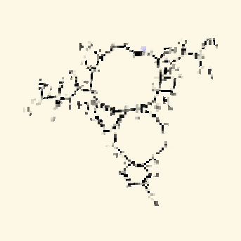 CN(C)C(=O)C[C@@]1(O)/C=C/CCN(C)C(=O)C[C@](O)(C(=O)NS(=O)(=O)N(C)C)c2ccc3c(c2)N(CCCCc2cc(Cl)ccc2CO3)C[C@@H]2CC[C@H]21